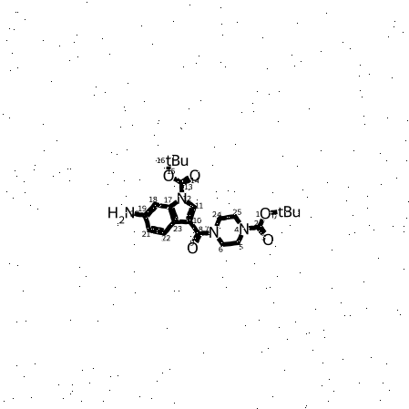 CC(C)(C)OC(=O)N1CCN(C(=O)c2cn(C(=O)OC(C)(C)C)c3cc(N)ccc23)CC1